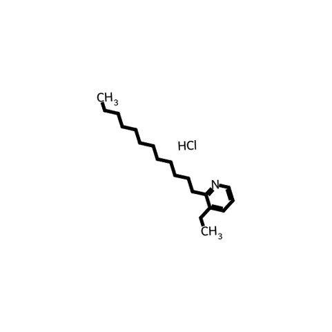 CCCCCCCCCCCCc1ncccc1CC.Cl